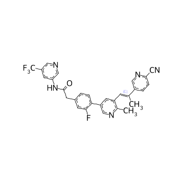 C/C(=C\c1cc(-c2ccc(CC(=O)Nc3cncc(C(F)(F)F)c3)cc2F)cnc1C)c1ccc(C#N)nc1